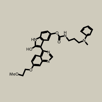 COCCOc1ccc2c(-c3c(O)[nH]c4ccc(OC(=O)NCCCN(C)c5ccccc5)cc34)ncnc2c1